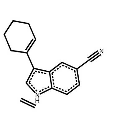 C=C.N#Cc1ccc2[nH]cc(C3=CCCCC3)c2c1